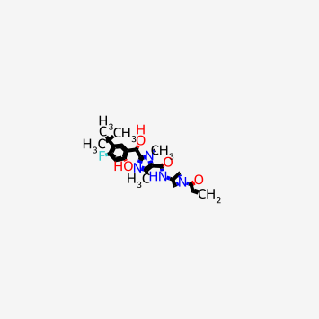 C=CC(=O)N1CC(NC(=O)c2c(C)nc(C(O)c3cc(C(C)(C)C)c(F)cc3O)n2C)C1